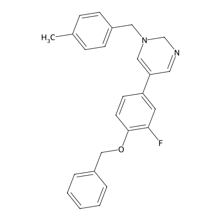 Cc1ccc(CN2C=C(c3ccc(OCc4ccccc4)c(F)c3)C=NC2)cc1